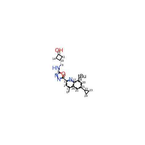 Cc1cc(-c2nnc(NC[C@H]3C[C@@H](O)C3)o2)nc2c(C(C)(C)C)cc(C3CC3)cc12